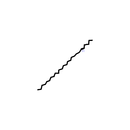 CCCC/C=C/CCCCCCCCCCCCCCCCCCCC